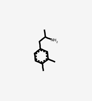 Cc1ccc(CC(C)N)cc1C